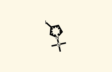 C[Si](C)(C)n1ccc(I)c1